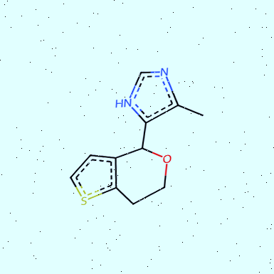 Cc1nc[nH]c1C1OCCc2sccc21